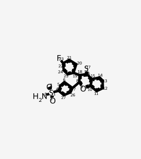 NS(=O)(=O)c1ccc(-c2oc3ccccc3c(=S)c2-c2ccc(F)cc2)cc1